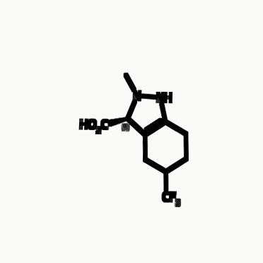 CN1NC2=C(CC(C(F)(F)F)CC2)[C@H]1C(=O)O